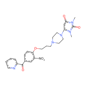 Cn1c(N2CCN(CCCOc3ccc(C(=O)c4ccccn4)cc3[N+](=O)[O-])CC2)cc(=O)n(C)c1=O